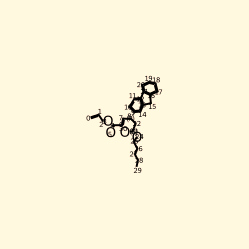 C=CCOC(=O)C1=C[C@H](c2ccc3c(c2)Cc2ccccc2-3)C[C@H](OCCCCC)O1